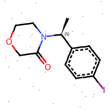 C[C@@H](c1ccc(I)cc1)N1CCOCC1=O